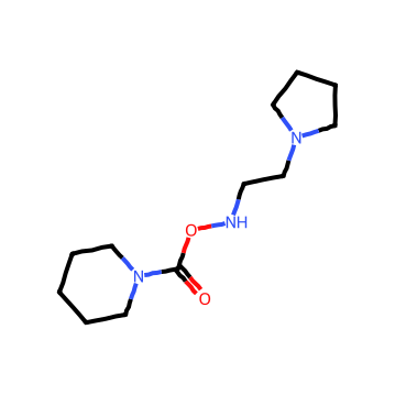 O=C(ONCCN1CCCC1)N1CCCCC1